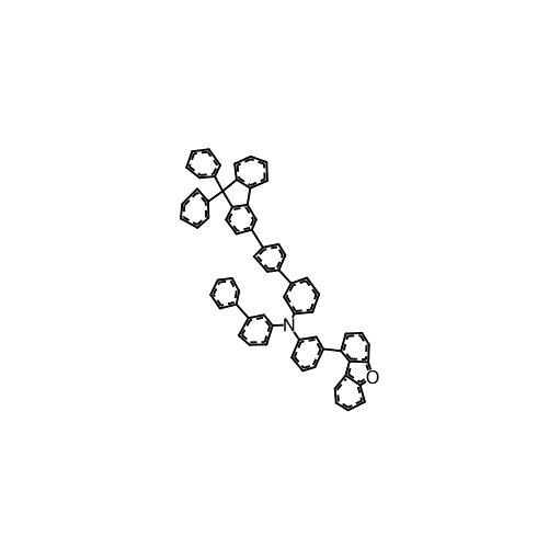 c1ccc(-c2cccc(N(c3cccc(-c4ccc(-c5ccc6c(c5)-c5ccccc5C6(c5ccccc5)c5ccccc5)cc4)c3)c3cccc(-c4cccc5oc6ccccc6c45)c3)c2)cc1